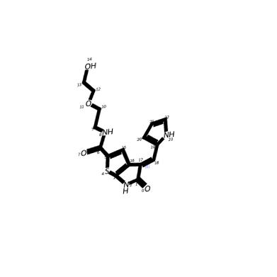 O=C1Nc2sc(C(=O)NCCOCCO)cc2/C1=C\c1ccc[nH]1